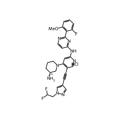 COc1cccc(F)c1-c1nccc(Nc2cc(N3CCC[C@H](N)C3)c(C#Cc3cnn(CC(F)F)c3)cn2)n1.Cl